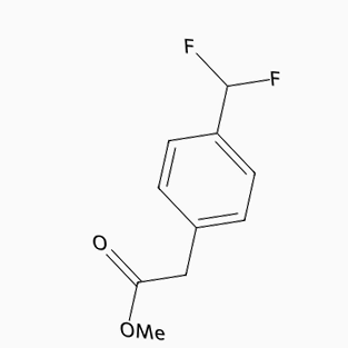 COC(=O)Cc1ccc(C(F)F)cc1